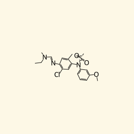 CCN(C)C=Nc1cc(C)c(N(c2cccc(OC)c2)S(C)(=O)=O)cc1Cl